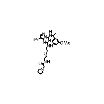 COc1cccc(C(C)Nc2nc(NCCOCCNC(=O)CN3CCCC3)nc3c(C(C)C)cnn23)c1